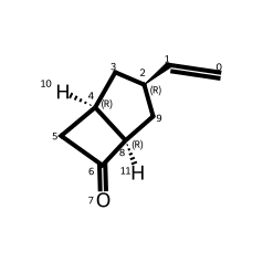 C=C[C@@H]1C[C@@H]2CC(=O)[C@@H]2C1